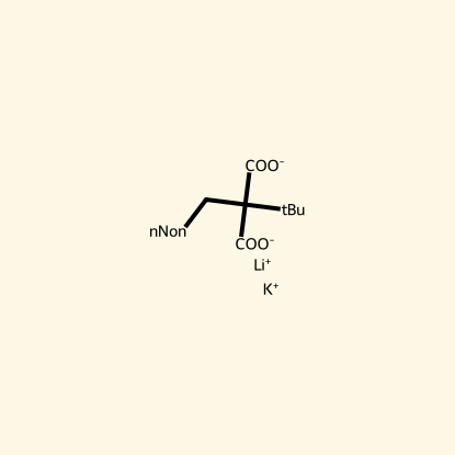 CCCCCCCCCCC(C(=O)[O-])(C(=O)[O-])C(C)(C)C.[K+].[Li+]